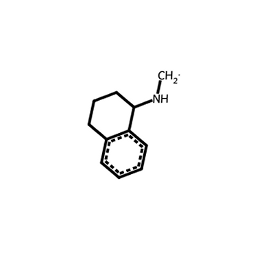 [CH2]NC1CCCc2ccccc21